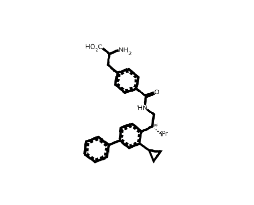 CC(C)[C@@H](CNC(=O)c1ccc(CC(N)C(=O)O)cc1)c1ccc(-c2ccccc2)cc1C1CC1